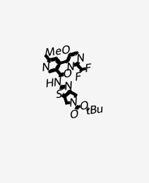 COc1cnc(C(F)F)nc1-c1cc(C)ncc1C(=O)Nc1nc2c(s1)CN(C(=O)OC(C)(C)C)C2